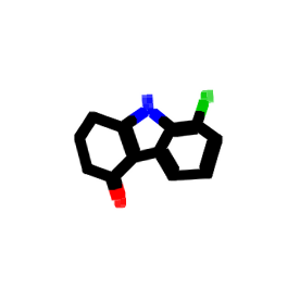 O=C1CCCc2[nH]c3c(Cl)cccc3c21